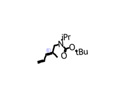 C=C/C=C(\C)CN(C(=O)OC(C)(C)C)C(C)C